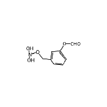 O=COc1cccc(CON(O)O)c1